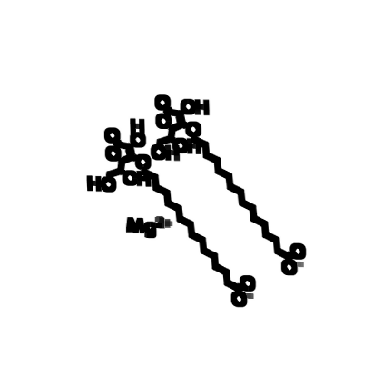 O=C([O-])CCCCCCCCCCCCCCCOC1=C(O)C(=O)O[C@@H]1[C@@H](O)CO.O=C([O-])CCCCCCCCCCCCCCCOC1=C(O)C(=O)O[C@@H]1[C@@H](O)CO.[Mg+2]